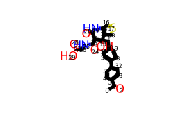 CC(=O)c1ccc(-c2ccc(CC3(O)C4=C(CSC4)NC(=O)C3C(=O)NCC(=O)O)cc2)cc1